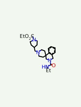 CCNC(=O)N1Cc2ccccc2C2(CCN(CC3CCN(C(=O)OCC)CC3)CC2)C1